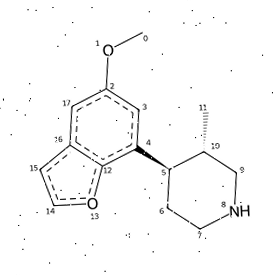 COc1cc([C@@H]2CCNC[C@H]2C)c2occc2c1